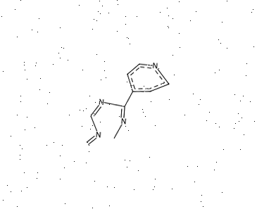 C=N/C=N\C(=N/C)c1ccncc1